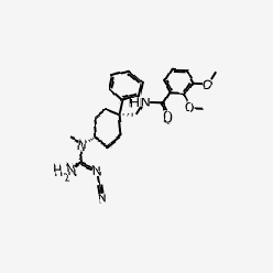 COc1cccc(C(=O)NC[C@]2(c3ccccc3)CC[C@H](N(C)C(N)=NC#N)CC2)c1OC